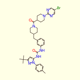 Cc1ccc(-n2nc(C(C)(C)C)cc2NC(=O)Nc2cccc(CC3CCN(C(=O)C4CCN(c5ncc(Br)cn5)CC4)CC3)c2)cc1